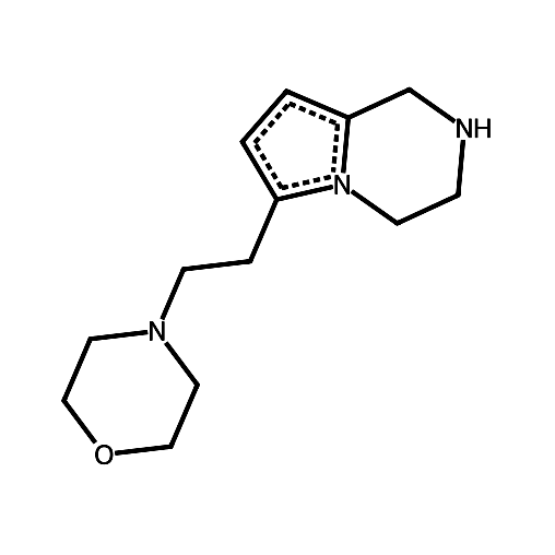 c1cc2n(c1CCN1CCOCC1)CCNC2